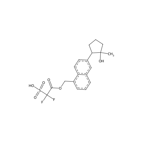 CC1(O)CCCC1c1ccc2c(COC(=O)C(F)(F)S(=O)(=O)O)cccc2c1